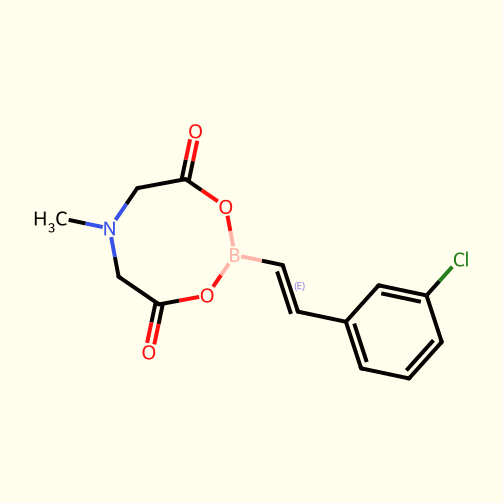 CN1CC(=O)OB(/C=C/c2cccc(Cl)c2)OC(=O)C1